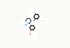 COc1ccc(C(C)(C)C)cc1C[C@@H]1CCCN(N)[C@@H]1c1cccc(OC(F)(F)F)c1